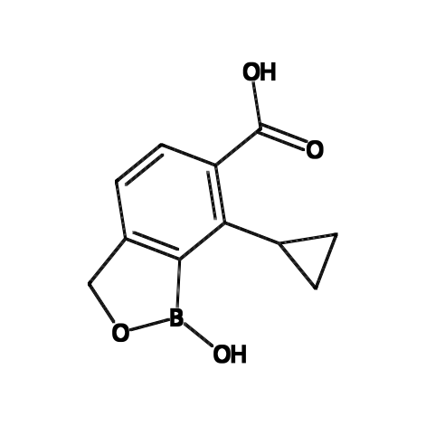 O=C(O)c1ccc2c(c1C1CC1)B(O)OC2